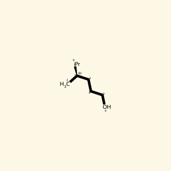 CC(C)[C@H](C)CCCO